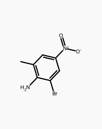 Cc1cc([N+](=O)[O-])cc(Br)c1N